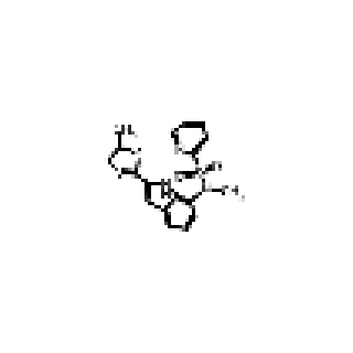 CC1CN=C(c2cc3cccc(N(C)S(=O)(=O)c4ccccn4)c3[nH]2)S1